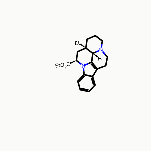 CCOC(=O)[C@H]1C[C@]2(CC)CCCN3CCc4c(n1c1ccccc41)[C@@H]32